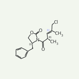 C/C(=C\[C@@H](C)C(=O)N1C(=O)OC[C@@H]1Cc1ccccc1)CCl